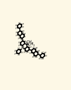 CC1(C)c2cc(-c3ccc4cc(-c5ccccc5)ccc4c3)ccc2N(c2ccccc2)c2ccc(-c3ccc4cc(-c5ccccc5)ccc4c3)cc21